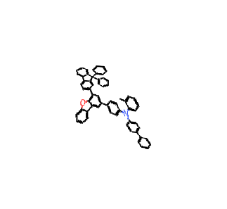 Cc1ccccc1N(c1ccc(-c2ccccc2)cc1)c1ccc(-c2cc(-c3ccc4c(c3)C(c3ccccc3)(c3ccccc3)c3ccccc3-4)c3oc4ccccc4c3c2)cc1